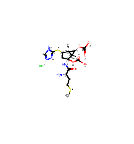 CSCC[C@H](N)C(=O)N[C@]1(OC(=O)O)C[C@@H](Sc2nnc[nH]2)[C@H]2[C@H](OC(=O)O)[C@@H]21.Cl